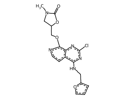 CN1CC(COc2nccc3c(NCc4ccco4)nc(Cl)nc23)OC1=O